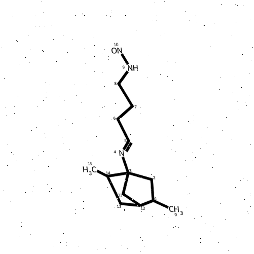 CC1CC2(/N=C/CCCNN=O)CC1CC2C